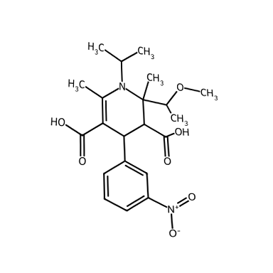 COC(C)C1(C)C(C(=O)O)C(c2cccc([N+](=O)[O-])c2)C(C(=O)O)=C(C)N1C(C)C